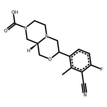 Cc1c(C2CN3CCN(C(=O)O)C[C@H]3CO2)ccc(F)c1C#N